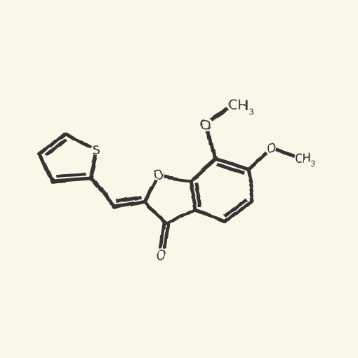 COc1ccc2c(c1OC)O/C(=C\c1cccs1)C2=O